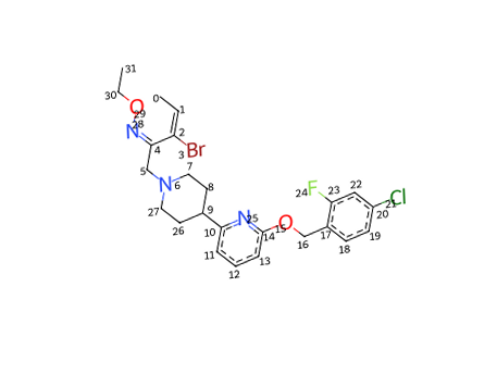 C/C=C(Br)\C(CN1CCC(c2cccc(OCc3ccc(Cl)cc3F)n2)CC1)=N/OCC